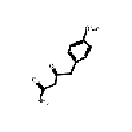 COc1ccc(CC(=O)CC(N)=O)cc1